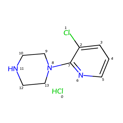 Cl.Clc1cccnc1N1CCNCC1